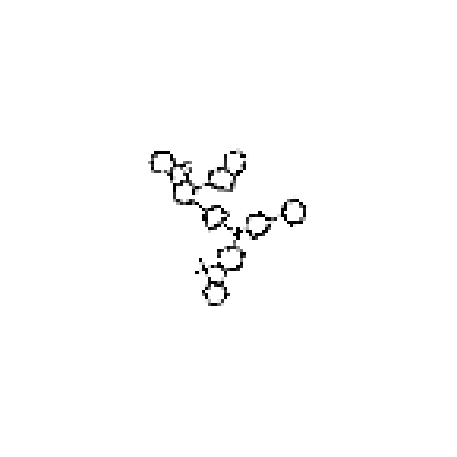 CC1(C)c2ccccc2-c2ccc(N(c3ccc(-c4ccccc4)cc3)c3ccc(-c4ccc5c(sc6ccccc65)c4-c4ccc5ccccc5c4)cc3)cc21